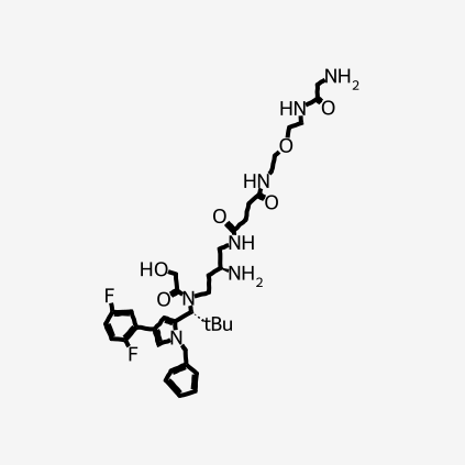 CC(C)(C)[C@H](c1cc(-c2cc(F)ccc2F)cn1Cc1ccccc1)N(CC[C@H](N)CNC(=O)CCC(=O)NCCOCCNC(=O)CN)C(=O)CO